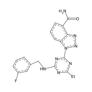 CCc1nc(NCc2cccc(F)c2)nc(-n2nnc3c(C(N)=O)cccc32)n1